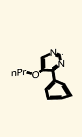 CCCOc1cn[c]nc1-c1ccccc1